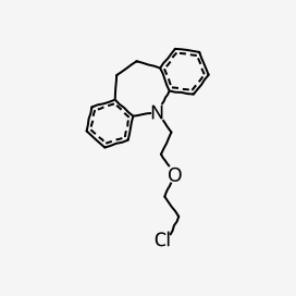 ClCCOCCN1c2ccccc2CCc2ccccc21